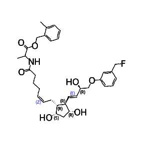 Cc1ccccc1COC(=O)C(C)NC(=O)CCC/C=C\C[C@@H]1[C@@H](/C=C/[C@@H](O)COc2cccc(CF)c2)[C@H](O)C[C@@H]1O